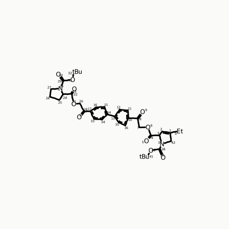 CCC1=CC(C(=O)OCC(=O)c2ccc(-c3ccc(C(=O)COC(=O)C4CCCN4C(=O)OC(C)(C)C)cc3)cc2)N(C(=O)OC(C)(C)C)C1